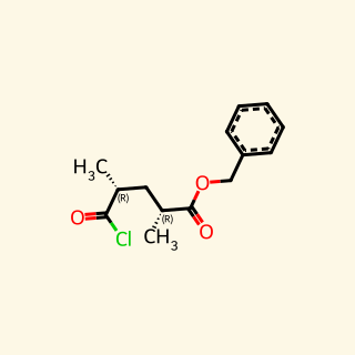 C[C@H](C[C@@H](C)C(=O)OCc1ccccc1)C(=O)Cl